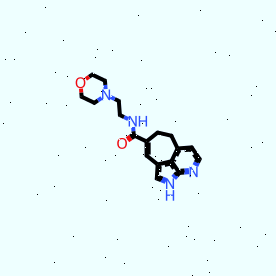 O=C(NCCN1CCOCC1)C1=Cc2c[nH]c3nccc(c23)CC1